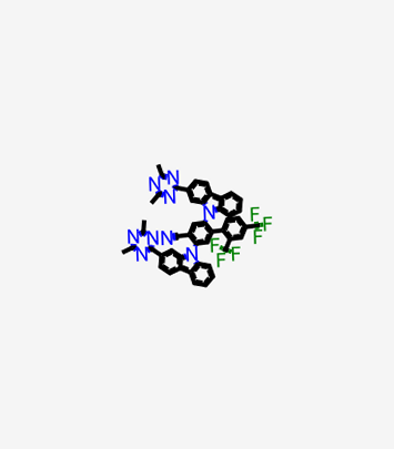 Cc1nc(C)nc(-c2ccc3c4ccccc4n(-c4cc(-c5ccc(C(F)(F)F)cc5C(F)(F)F)c(-n5c6ccccc6c6ccc(-c7nc(C)nc(C)n7)cc65)cc4C#N)c3c2)n1